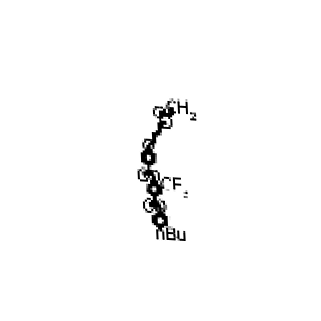 C=CC(=O)OCCCCOc1ccc(C(=O)Oc2ccc(C(=O)Oc3ccc(CCCC)cc3)cc2C(F)(F)F)cc1